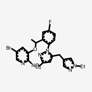 CCn1cc(Cc2cc(Cl)nn2-c2ccc(F)cc2C(C)Oc2cc(Br)cnc2[N+](=O)[O-])cn1